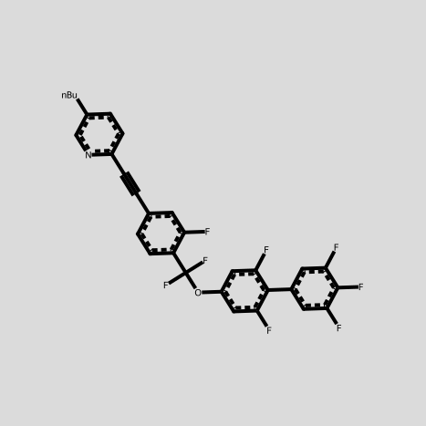 CCCCc1ccc(C#Cc2ccc(C(F)(F)Oc3cc(F)c(-c4cc(F)c(F)c(F)c4)c(F)c3)c(F)c2)nc1